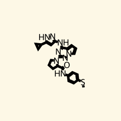 CSc1ccc(NC(=O)C2CCCN2c2nc(Nc3cc(C4CC4)[nH]n3)c3cccn3n2)cc1